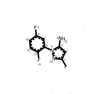 Cc1cc(N)n(-c2cc(F)ccc2F)n1